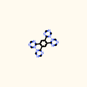 c1ncnc(-c2cc(-c3ncncn3)c(-c3ncncn3)cc2-c2ncncn2)n1